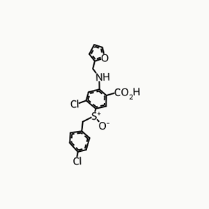 O=C(O)c1cc([S+]([O-])Cc2ccc(Cl)cc2)c(Cl)cc1NCc1ccco1